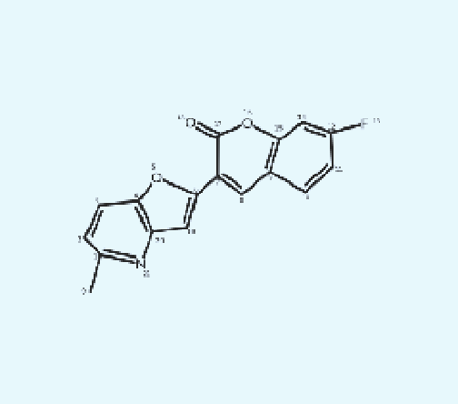 Cc1ccc2oc(-c3cc4ccc(F)cc4oc3=O)cc2n1